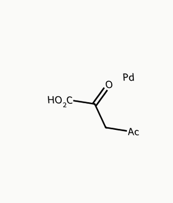 CC(=O)CC(=O)C(=O)O.[Pd]